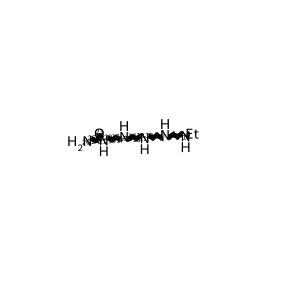 CCNCCCCNCCCCNCCCCNCCCCNC(=O)CCN